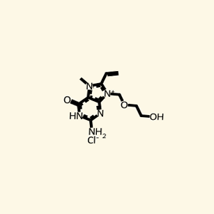 C=Cc1n(C)c2c(=O)[nH]c(N)nc2[n+]1COCCO.[Cl-]